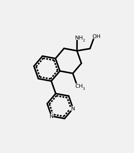 CC1CC(N)(CO)Cc2cccc(-c3cncnc3)c21